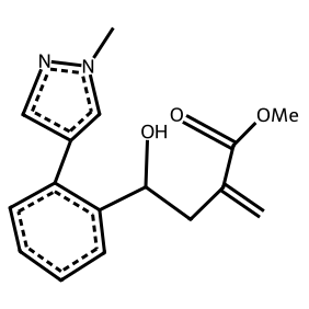 C=C(CC(O)c1ccccc1-c1cnn(C)c1)C(=O)OC